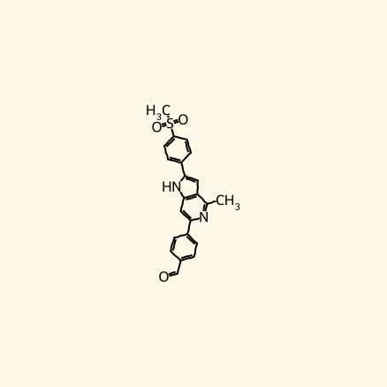 Cc1nc(-c2ccc(C=O)cc2)cc2[nH]c(-c3ccc(S(C)(=O)=O)cc3)cc12